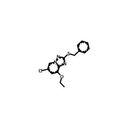 CCOc1cc(Cl)cn2nc(SCc3ccccc3)nc12